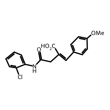 COc1ccc(/C=C(/CC(=O)Nc2ccccc2Cl)C(=O)O)cc1